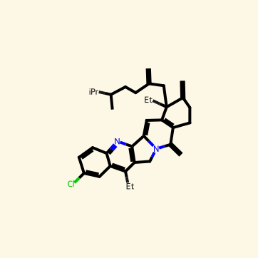 C=C(CCC(C)C(C)C)CC1(CC)C(=C)CCC2=C1C=C1c3nc4ccc(Cl)cc4c(CC)c3CN1C2=C